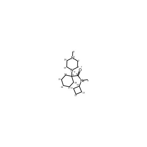 CN1CCN(C2(C(=O)N(C)C3CCC3)CCCCC2)CC1